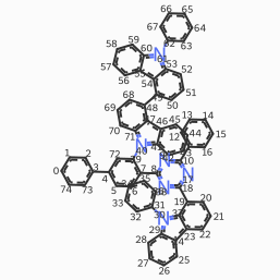 c1ccc(-c2ccc(-c3nc(-c4ccccc4)nc(-c4cccc5c6ccccc6n(-c6ccccc6)c45)n3)c(-n3c4ccccc4c4c(-c5cccc6c5c5ccccc5n6-c5ccccc5)cccc43)c2)cc1